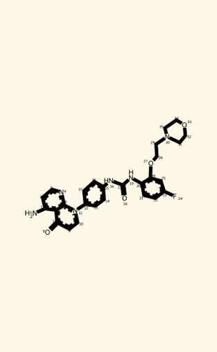 Nc1ccnc2c1c(=O)ccn2-c1ccc(NC(=O)Nc2ccc(F)cc2OCCN2CCOCC2)cc1